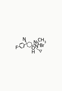 Cc1nc([C@]2(O)CC[C@@](C#N)(c3ccc(F)cc3)CC2)n(CC2CC2)c1Br